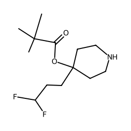 CC(C)(C)C(=O)OC1(CCC(F)F)CCNCC1